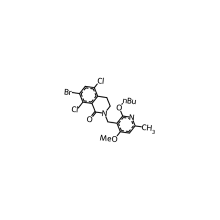 CCCCOc1nc(C)cc(OC)c1CN1CCc2c(Cl)cc(Br)c(Cl)c2C1=O